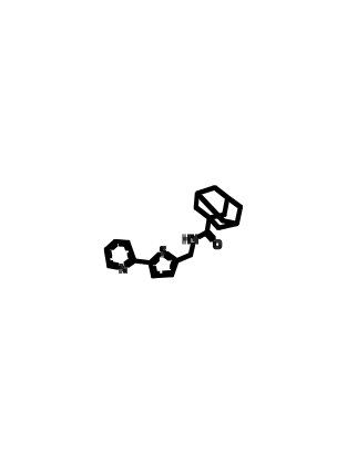 O=C(NCc1ccc(-c2ccccn2)s1)C12CC3CC(CC(C3)C1)C2